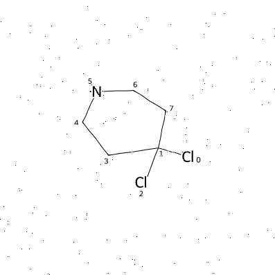 ClC1(Cl)CC[N]CC1